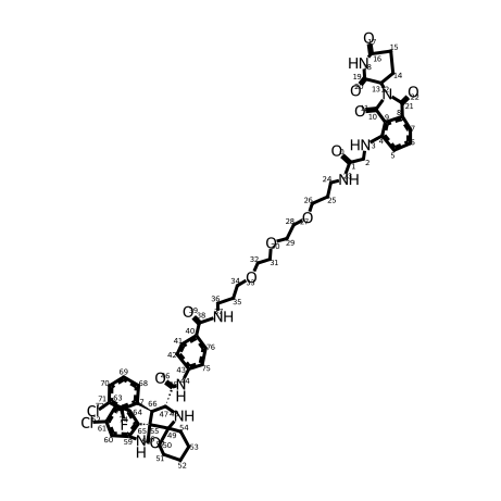 O=C(CNc1cccc2c1C(=O)N(C1CCC(=O)NC1=O)C2=O)NCCCOCCOCCOCCCNC(=O)c1ccc(NC(=O)[C@@H]2NC3(CCCCC3)[C@@]3(C(=O)Nc4cc(Cl)ccc43)[C@H]2c2cccc(Cl)c2F)cc1